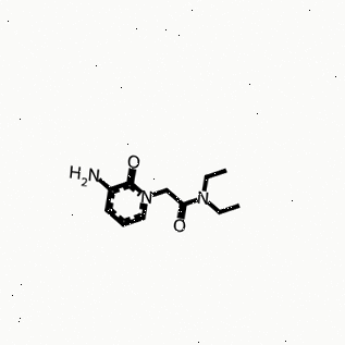 CCN(CC)C(=O)Cn1cccc(N)c1=O